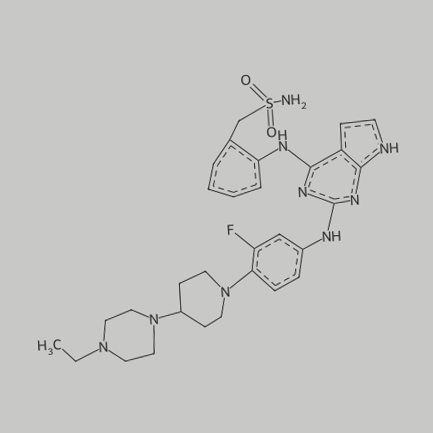 CCN1CCN(C2CCN(c3ccc(Nc4nc(Nc5ccccc5CS(N)(=O)=O)c5cc[nH]c5n4)cc3F)CC2)CC1